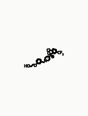 O=S(=O)(c1cc(C(F)(F)F)ccc1Cl)N1CCN(Cc2cccc(OCCO)c2)CC1